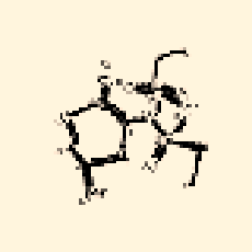 CCS(=O)(=O)N(c1cc(Br)cnc1Cl)S(=O)(=O)CC